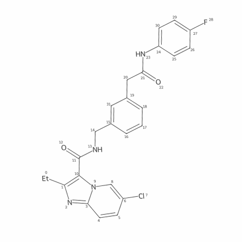 CCc1nc2ccc(Cl)cn2c1C(=O)NCc1cccc(CC(=O)Nc2ccc(F)cc2)c1